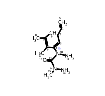 C=CC/C=C(\C(C)=C(C)C)N(N)C(=O)N(C)N